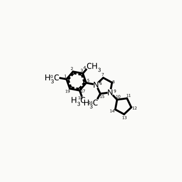 Cc1cc(C)c(N2CCN(C3CCCC3)C2C)c(C)c1